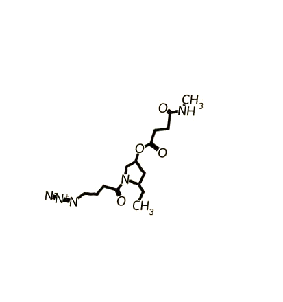 CCC1CC(OC(=O)CCC(=O)NC)CN1C(=O)CCCN=[N+]=[N-]